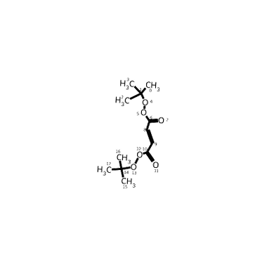 CC(C)(C)OOC(=O)C=CC(=O)OOC(C)(C)C